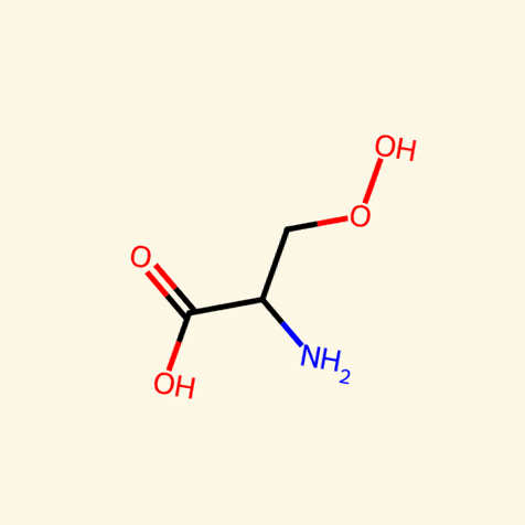 NC(COO)C(=O)O